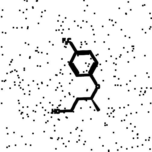 C[C@H](CCO)Oc1ccc(C(F)(F)F)cc1